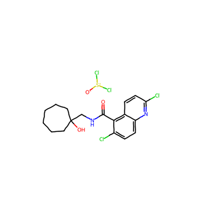 O=C(NCC1(O)CCCCCC1)c1c(Cl)ccc2nc(Cl)ccc12.[O-][S+](Cl)Cl